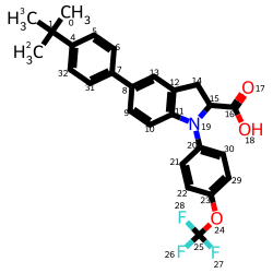 CC(C)(C)c1ccc(-c2ccc3c(c2)CC(C(=O)O)N3c2ccc(OC(F)(F)F)cc2)cc1